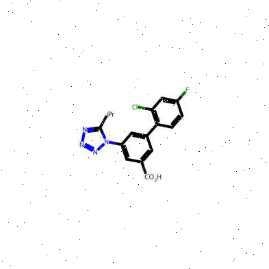 CC(C)c1nnnn1-c1cc(C(=O)O)cc(-c2ccc(F)cc2Cl)c1